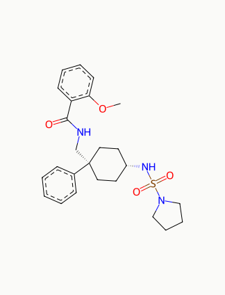 COc1ccccc1C(=O)NC[C@]1(c2ccccc2)CC[C@H](NS(=O)(=O)N2CCCC2)CC1